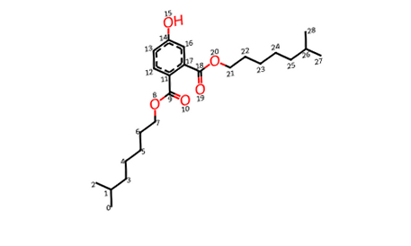 CC(C)CCCCCOC(=O)c1ccc(O)cc1C(=O)OCCCCCC(C)C